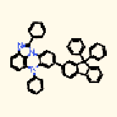 c1ccc(-c2nc3cccc4c3n2-c2ccc(-c3ccc5c(c3)C(c3ccccc3)(c3ccccc3)c3ccccc3-5)cc2N4c2ccccc2)cc1